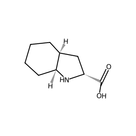 O=C(O)[C@H]1C[C@@H]2CCCC[C@@H]2N1